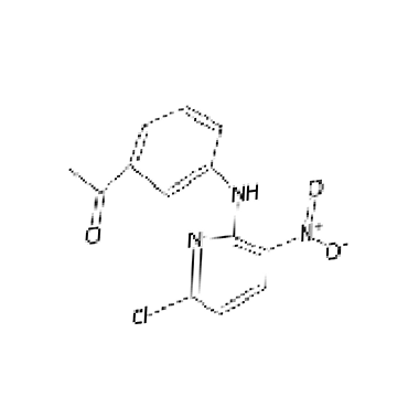 CC(=O)c1cccc(Nc2nc(Cl)ccc2[N+](=O)[O-])c1